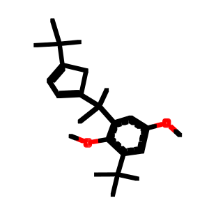 COc1cc(C(C)(C)C)c(OC)c(C(C)(C)C2=CC=C(C(C)(C)C)C2)c1